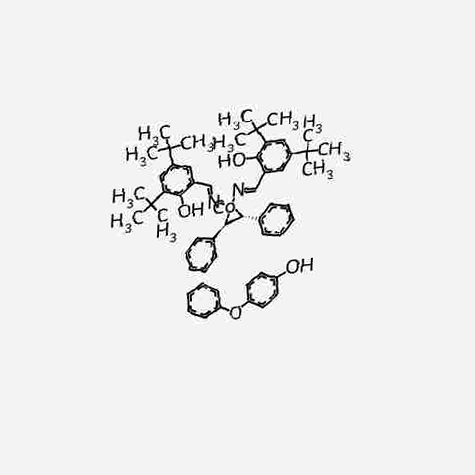 CC(C)(C)c1cc(C=[N][Co]2([N]=Cc3cc(C(C)(C)C)cc(C(C)(C)C)c3O)[C@H](c3ccccc3)[C@H]2c2ccccc2)c(O)c(C(C)(C)C)c1.Oc1ccc(Oc2ccccc2)cc1